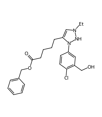 CCN1C=C(CCCCC(=O)OCc2ccccc2)N(c2ccc(Cl)c(CO)c2)N1